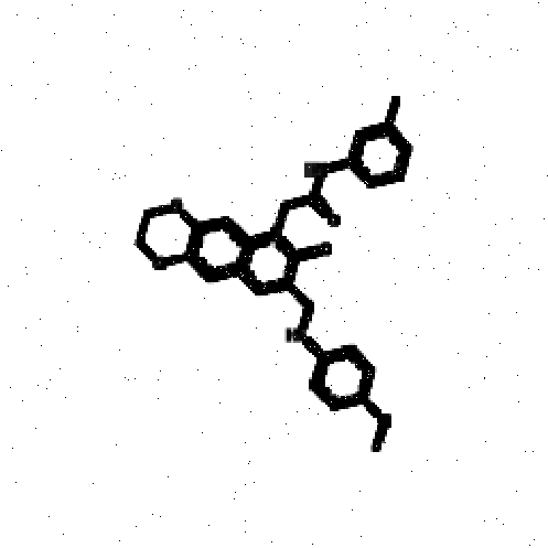 COc1ccc(NCc2cc3cc4c(cc3n(CC(=O)Nc3cccc(C)c3)c2=O)OCCO4)cc1